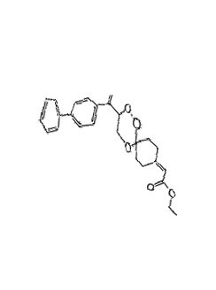 C=C(c1ccc(-c2ccccc2)cc1)C1COC2(CCC(=CC(=O)OCC)CC2)OO1